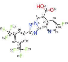 O=C(O)/C(=C/n1cnc(-c2cc(C(F)(F)F)cc(C(F)(F)F)c2)n1)c1cncc(F)c1